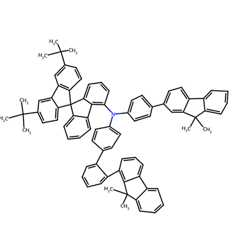 CC(C)(C)c1ccc2c(c1)-c1cc(C(C)(C)C)ccc1C21c2ccccc2-c2c(N(c3ccc(-c4ccc5c(c4)C(C)(C)c4ccccc4-5)cc3)c3ccc(-c4ccccc4-c4cccc5c4C(C)(C)c4ccccc4-5)cc3)cccc21